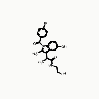 Cc1c(C(C)C(=O)NCCO)c2cc(O)ccc2n1C(=O)c1ccc(Br)cc1